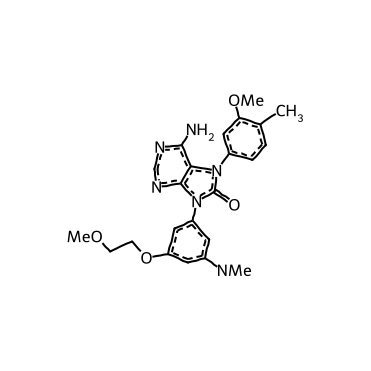 CNc1cc(OCCOC)cc(-n2c(=O)n(-c3ccc(C)c(OC)c3)c3c(N)ncnc32)c1